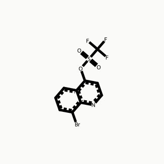 O=S(=O)(Oc1ccnc2c(Br)cccc12)C(F)(F)F